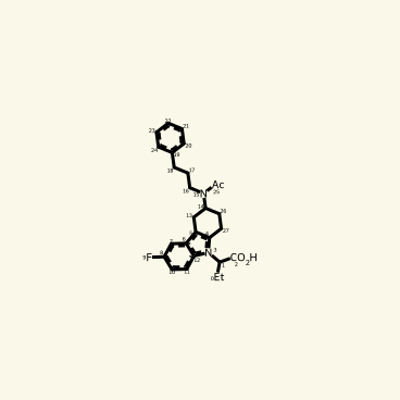 CCC(C(=O)O)n1c2c(c3cc(F)ccc31)CC(N(CCCc1ccccc1)C(C)=O)CC2